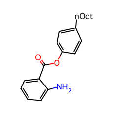 CCCCCCCCc1ccc(OC(=O)c2ccccc2N)cc1